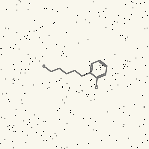 [O]CCCCCc1ccccc1Cl